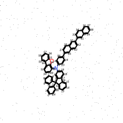 c1ccc(C2(c3ccccc3)c3ccccc3-c3ccc(N(c4ccc(-c5ccc6cc(-c7ccc8ccccc8c7)ccc6c5)cc4)c4cccc5c4oc4ccccc45)cc32)cc1